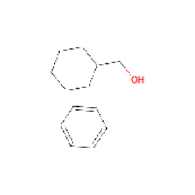 OCC1CCCCC1.c1ccccc1